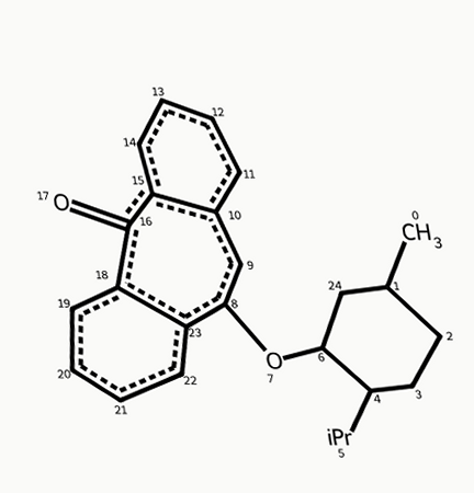 CC1CCC(C(C)C)C(Oc2cc3ccccc3c(=O)c3ccccc23)C1